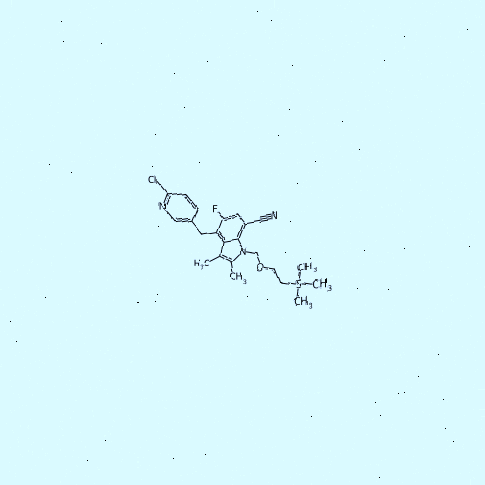 Cc1c(C)n(COCCS(C)(C)C)c2c(C#N)cc(F)c(Cc3ccc(Cl)nc3)c12